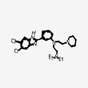 CCN(CC)CCN(CCN1CCCCC1)c1cccc(-c2nc3cc(Cl)c(Cl)cc3[nH]2)c1